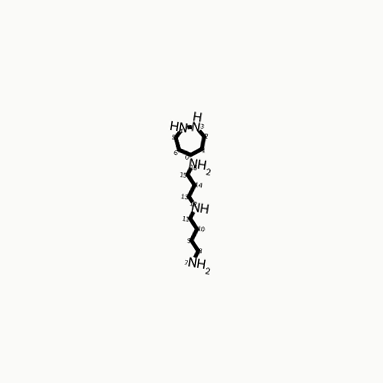 C1CCNNCC1.NCCCCNCCCN